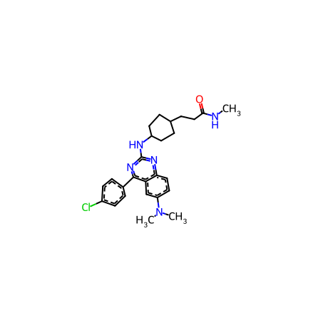 CNC(=O)CCC1CCC(Nc2nc(-c3ccc(Cl)cc3)c3cc(N(C)C)ccc3n2)CC1